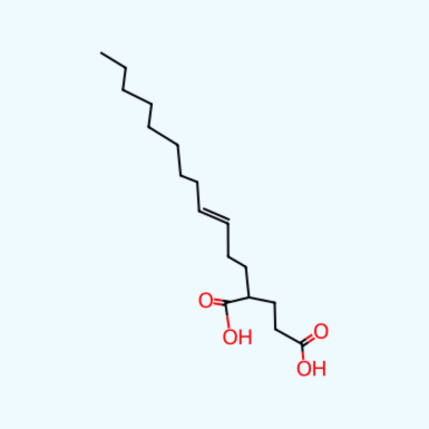 CCCCCCCCC=CCCC(CCC(=O)O)C(=O)O